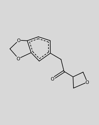 O=C(Cc1ccc2c(c1)OCO2)C1COC1